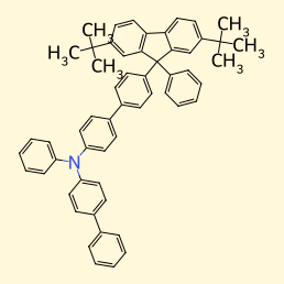 CC(C)(C)c1ccc2c(c1)C(c1ccccc1)(c1ccc(-c3ccc(N(c4ccccc4)c4ccc(-c5ccccc5)cc4)cc3)cc1)c1cc(C(C)(C)C)ccc1-2